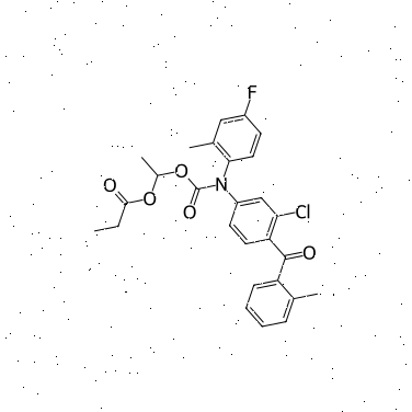 CCC(=O)OC(C)OC(=O)N(c1ccc(C(=O)c2ccccc2C)c(Cl)c1)c1ccc(F)cc1C